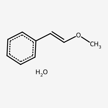 COC=Cc1ccccc1.O